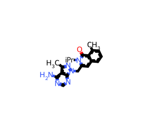 Cc1nn(Cc2cc3cccc(C)c3c(=O)n2C(C)C)c2ncnc(N)c12